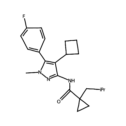 CC(C)CC1(C(=O)Nc2nn(C)c(-c3ccc(F)cc3)c2C2CCC2)CC1